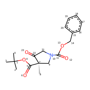 CC(C)(C)OC(=O)[C@]1(C)CN(C(=O)OCc2ccccc2)CC1=O